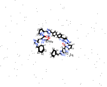 COC(=O)N[C@@H](Cc1cn(Cc2ccccc2)cn1)C(=O)N1CCC[C@H]1c1ncc(-c2ccc(-c3ccc(-c4cnc([C@@H]5CCCN5C(=O)[C@H](Cc5c[nH]c(Cc6ccccc6)n5)NC(=O)O)[nH]4)cc3)cc2)[nH]1